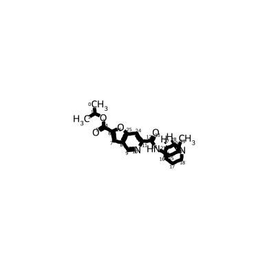 CC(C)OC(=O)c1cc2cnc(C(=O)N[C@@H]3C4CCN(CC4)[C@H]3C)cc2o1